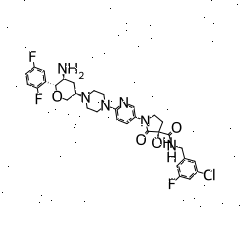 N[C@H]1C[C@@H](N2CCN(c3ccc(N4CC[C@](O)(C(=O)NCc5cc(F)cc(Cl)c5)C4=O)cn3)CC2)CO[C@@H]1c1cc(F)ccc1F